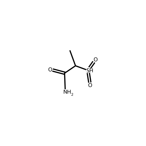 CC(C(N)=O)[SH](=O)=O